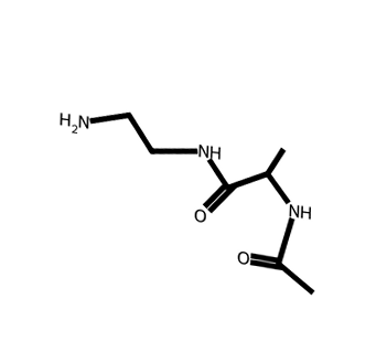 CC(=O)NC(C)C(=O)NCCN